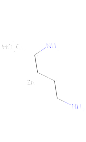 NCCC[C@@H](N)C(=O)O.[Zn]